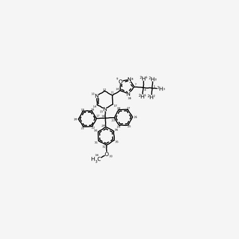 [2H]C([2H])([2H])C([2H])([2H])c1noc(C2CN=CN(C(c3ccccc3)(c3ccccc3)c3ccc(OC)cc3)C2)n1